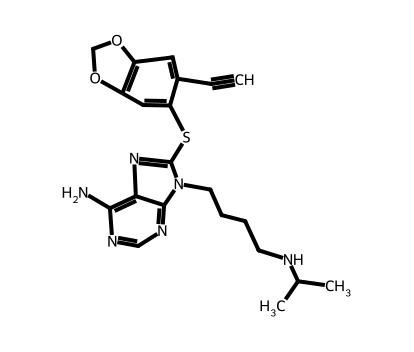 C#Cc1cc2c(cc1Sc1nc3c(N)ncnc3n1CCCCNC(C)C)OCO2